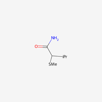 CSC(C(N)=O)C(C)C